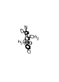 C[C@H]1CN(S(=O)(=O)c2ccc(Cl)cc2)[C@@H](C)CN1c1ccc(C#N)c(Cl)c1